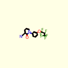 N#Cc1cccn(-c2cccc(OC(F)(F)C(F)C(F)(F)F)c2)c1=O